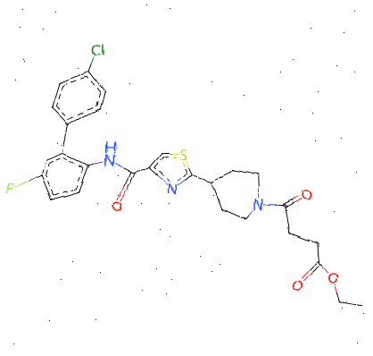 CCOC(=O)CCC(=O)N1CCC(c2nc(C(=O)Nc3ccc(F)cc3-c3ccc(Cl)cc3)cs2)CC1